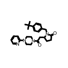 CC(C)(C)c1ccc(CN2C(=O)CCC2CC(=O)N2CCN(c3ccccn3)CC2)cc1